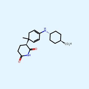 CC1([C@@H]2CCC(=O)NC2=O)C=CC(N[C@H]2CC[C@H](C(=O)O)CC2)=CC1